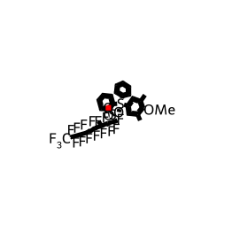 COc1c(C)cc(S(OS(=O)(=O)C(F)(F)C(F)(F)C(F)(F)C(F)(F)C(F)(F)C(F)(F)C(F)(F)C(F)(F)F)(c2ccccc2)c2ccccc2)cc1C